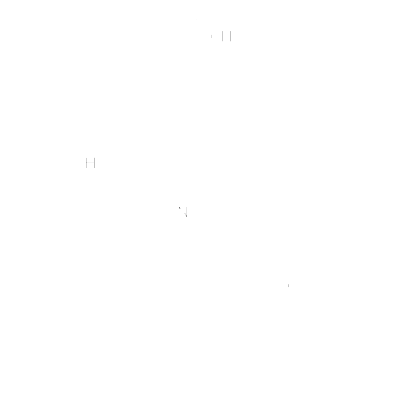 Cc1cc(C(=O)O)ccc1/N=C/c1ccccc1Cl